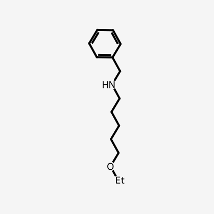 CCOCCCCCNCc1ccccc1